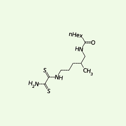 CCCCCCC(=O)NCC(C)CCCNC(=S)C(N)=S